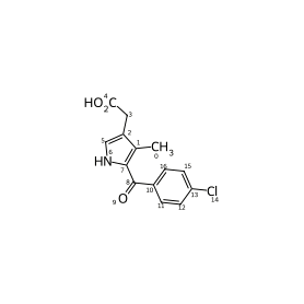 Cc1c(CC(=O)O)c[nH]c1C(=O)c1ccc(Cl)cc1